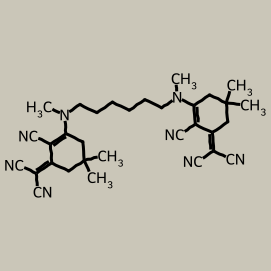 CN(CCCCCCN(C)C1=C(C#N)C(=C(C#N)C#N)CC(C)(C)C1)C1=C(C#N)C(=C(C#N)C#N)CC(C)(C)C1